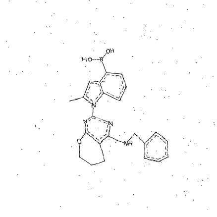 Cc1cc2c(B(O)O)cccc2n1-c1nc(NCc2ccccc2)c2c(n1)OCCC2